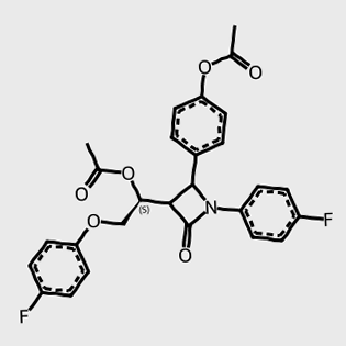 CC(=O)Oc1ccc(C2C([C@@H](COc3ccc(F)cc3)OC(C)=O)C(=O)N2c2ccc(F)cc2)cc1